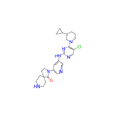 O=C1N(c2cncc(Nc3ncc(Cl)c(N4CCCC(C5CC5)C4)n3)c2)CCC12CCNCC2